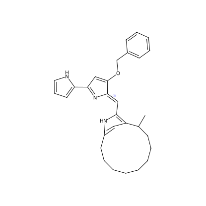 CC1CCCCCCCCc2cc1c(/C=C1\N=C(c3ccc[nH]3)C=C1OCc1ccccc1)[nH]2